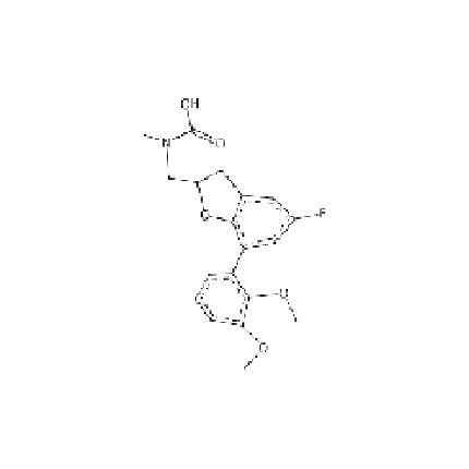 COc1cccc(-c2cc(F)cc3c2OC(CN(C)C(=O)O)C3)c1OC